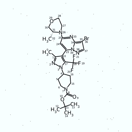 Cc1nn(C2CCN(C(=O)OC(C)(C)C)CC2)c(C(F)(F)F)c1-c1cc(N2CCOC[C@H]2C)nc2c(Br)cnn12